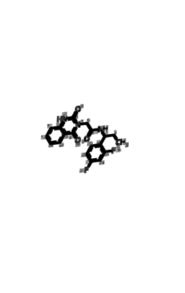 CCC(NC(=O)Cn1c(=O)[nH]c2ccccc2c1=O)c1ccc(F)cc1F